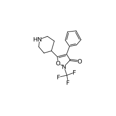 O=c1c(-c2ccccc2)c(C2CCNCC2)on1C(F)(F)F